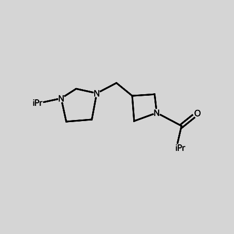 CC(C)C(=O)N1CC(CN2CCN(C(C)C)C2)C1